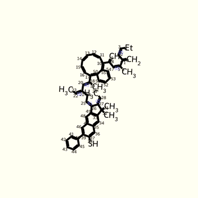 C=C(/C=C\CC)/C(C)=C\C(=C)c1ccccccc(/C(C)=C/C(=C\C)C/C=C2\C(=C/C)C(C)(C)c3cc4cc(S)c(-c5ccccc5)cc4cc32)c2ccccc12